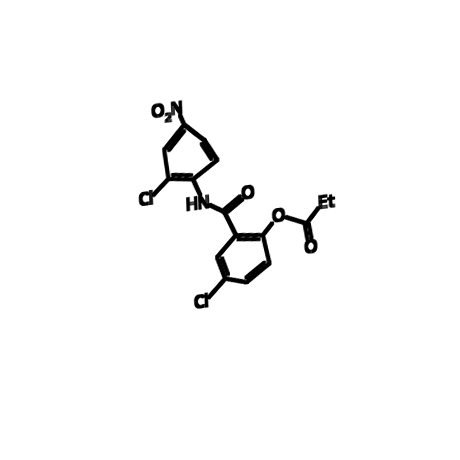 CCC(=O)Oc1ccc(Cl)cc1C(=O)Nc1ccc([N+](=O)[O-])cc1Cl